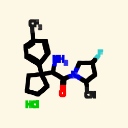 Cl.N#CC1CC(F)CN1C(=O)C(N)C1(c2ccc(C(F)(F)F)cc2)CCCC1